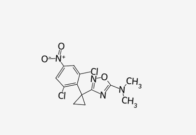 CN(C)c1nc(C2(c3c(Cl)cc([N+](=O)[O-])cc3Cl)CC2)no1